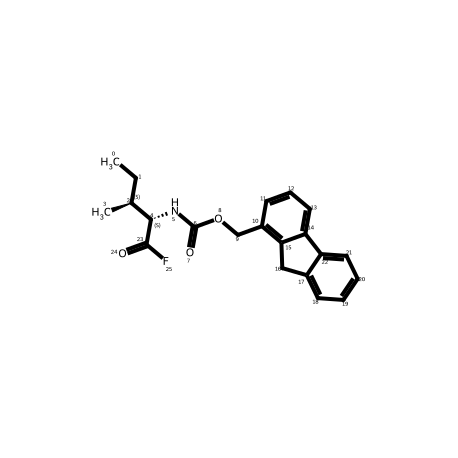 CC[C@H](C)[C@H](NC(=O)OCc1cccc2c1Cc1ccccc1-2)C(=O)F